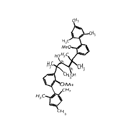 COc1c(-c2c(C)cc(C)cc2C)cccc1C(C)(C)[C@@H](O)[C@H](O)C(C)(C)c1cccc(-c2c(C)cc(C)cc2C)c1OC